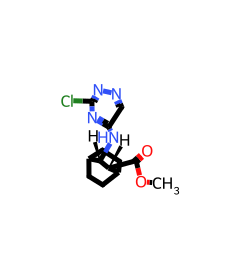 COC(=O)[C@@H]1C2CCC(CC2)[C@@H]1Nc1cnnc(Cl)n1